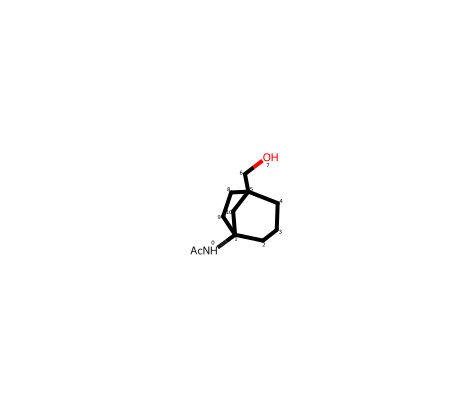 CC(=O)NC12CCCC(CO)(CC1)C2